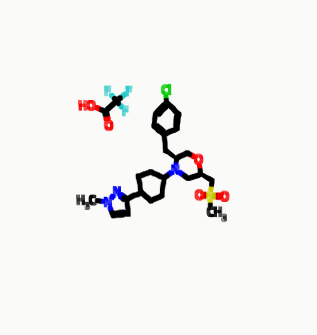 Cn1ccc(C2CCC(N3C[C@H](CS(C)(=O)=O)OC[C@@H]3Cc3ccc(Cl)cc3)CC2)n1.O=C(O)C(F)(F)F